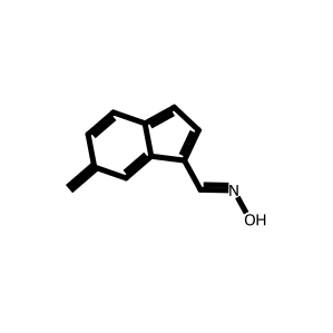 C=c1ccc2c(c1)C(C=NO)=CC=2